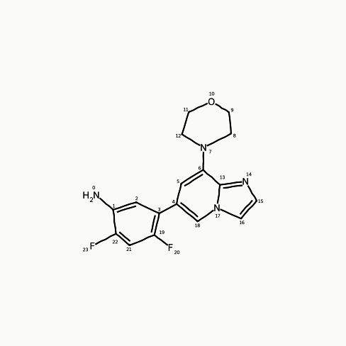 Nc1cc(-c2cc(N3CCOCC3)c3nccn3c2)c(F)cc1F